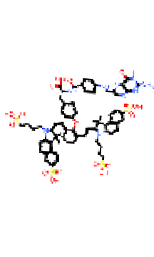 CC1(C)C(/C=C/C2=C(Oc3ccc(C[C@H](NC(=O)c4ccc(NCc5cnc6nc(N)[nH]c(=O)c6n5)cc4)C(=O)O)cc3)C(=C/C=C3/N(CCCCS(=O)(=O)O)c4ccc5cc(S(=O)(=O)O)ccc5c4C3(C)C)/CCC2)=[N+](CCCCS(=O)(=O)O)c2ccc3cc(S(=O)(=O)O)ccc3c21